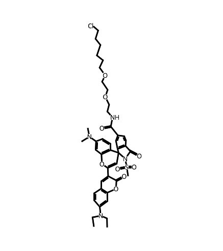 CCN(CC)c1ccc2cc(C3=CC4(c5ccc(N(C)C)cc5O3)c3cc(C(=O)NCCOCCOCCCCCCCl)ccc3C(=O)N4S(C)(=O)=O)c(=O)oc2c1